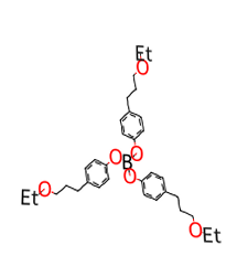 CCOCCCc1ccc(OB(Oc2ccc(CCCOCC)cc2)Oc2ccc(CCCOCC)cc2)cc1